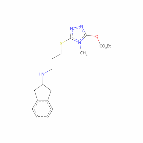 CCOC(=O)Oc1nnc(SCCCNC2Cc3ccccc3C2)n1C